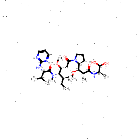 CC[C@H](C)[C@@H]([C@@H](CC(=O)N1CCC[C@H]1[C@H](OC)[C@@H](C)C(=O)N[C@H](C)C(O)O)OC)N(C)C(=O)[C@@H](Nc1ncccn1)C(C)C